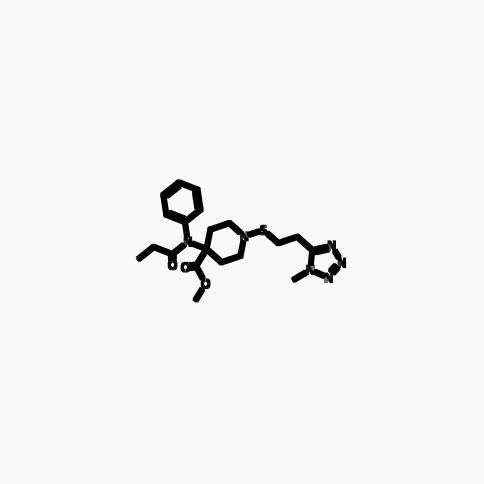 CCC(=O)N(c1ccccc1)C1(C(=O)OC)CCN(SCCc2nnnn2C)CC1